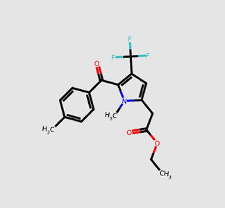 CCOC(=O)Cc1cc(C(F)(F)F)c(C(=O)c2ccc(C)cc2)n1C